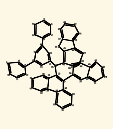 c1ccc(-c2cc(-c3ccccc3)cc(N(c3c(-c4ccc5ccccc5c4)c4ccccc4c4ccccc34)c3cccc4c3sc3ccccc34)c2)cc1